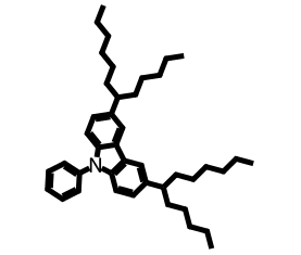 CCCCCCC(CCCCC)c1ccc2c(c1)c1cc(C(CCCCC)CCCCCC)ccc1n2-c1ccccc1